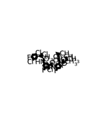 CC1CC1(C)OC(=O)N(C(=O)OC(C)(C)C)c1cc(NC(=O)c2cc(NC(=O)[C@H]3[C@H](c4ccc(F)c(Cl)c4)C3(Cl)Cl)cc(F)c2Cl)c(F)cc1F